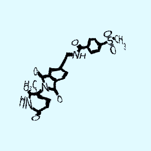 C[C@]1(N2C(=O)c3ccc(CNC(=O)c4ccc(S(C)(=O)=O)cc4)cc3C2=O)CCC(=O)NC1=O